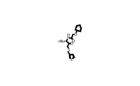 CCCC[C@H](NC(=O)COc1ccccc1)C(=O)CSCc1ccsc1